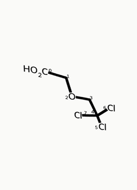 O=C(O)COCC(Cl)(Cl)Cl